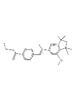 CCOC(=O)c1ccc(/C=C(\C)c2cc(OC)c3c(c2)C(C)(C)CC3(C)C)cc1